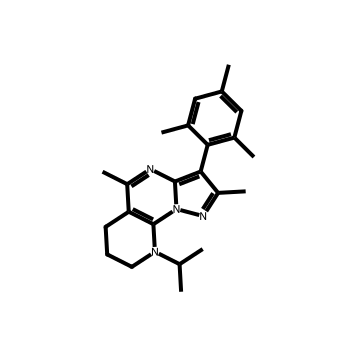 Cc1cc(C)c(-c2c(C)nn3c4c(c(C)nc23)CCCN4C(C)C)c(C)c1